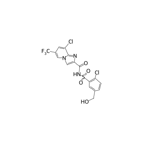 O=C(NS(=O)(=O)c1cc(CO)ccc1Cl)c1cn2cc(C(F)(F)F)cc(Cl)c2n1